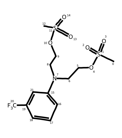 CS(=O)(=O)OCCN(CCOS(C)(=O)=O)c1cccc(C(F)(F)F)c1